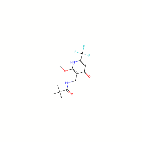 COc1[nH]c(C(F)(F)F)cc(=O)c1CNC(=O)C(C)(C)C